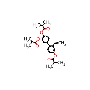 C=Cc1cc(OC(=O)C(=C)C)ccc1-c1ccc(OC(=O)C(=C)C)c(OC(=O)C(=C)C)c1